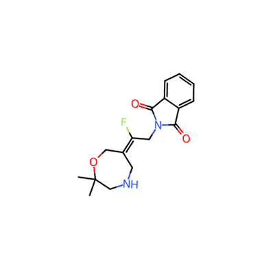 CC1(C)CNC/C(=C(/F)CN2C(=O)c3ccccc3C2=O)CO1